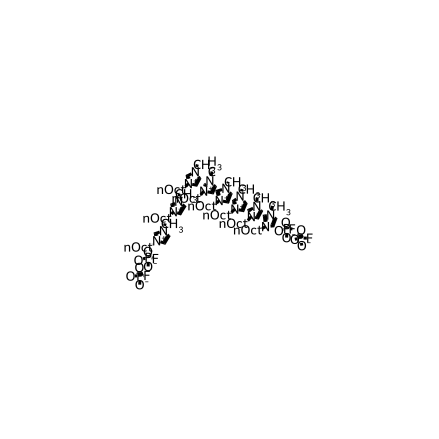 CCCCCCCC[n+]1ccn(C)c1.CCCCCCCC[n+]1ccn(C)c1.CCCCCCCC[n+]1ccn(C)c1.CCCCCCCC[n+]1ccn(C)c1.CCCCCCCC[n+]1ccn(C)c1.CCCCCCCC[n+]1ccn(C)c1.CCCCCCCC[n+]1ccn(C)c1.CCCCCCCC[n+]1ccn(C)c1.O=P([O-])([O-])F.O=P([O-])([O-])F.O=P([O-])([O-])F.O=P([O-])([O-])F